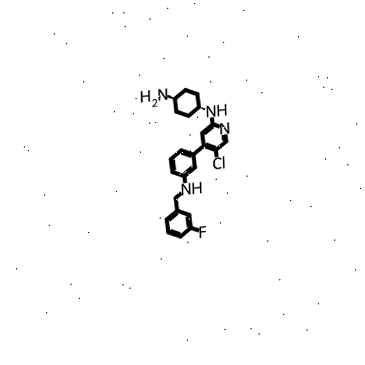 N[C@H]1CC[C@H](Nc2cc(-c3cccc(NCc4cccc(F)c4)c3)c(Cl)cn2)CC1